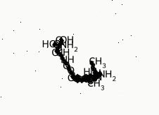 CCCCCNc1nc(N)nc2ccn(Cc3ccc(CN4CCN(C(=O)CCOCCOCCNCCCNC(=O)[C@H](CC(=O)O)SC[C@H](N)C(=O)O)CC4)cc3OC)c12